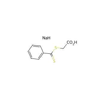 O=C(O)CSC(=S)c1ccccc1.[NaH]